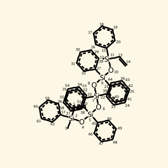 C=C[Si](C)(O[Si](O[Si](O[Si](O[Si](C)(C=C)c1ccccc1)(c1ccccc1)c1ccccc1)(c1ccccc1)c1ccccc1)(c1ccccc1)c1ccccc1)c1ccccc1